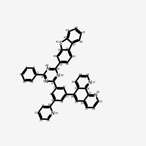 c1ccc(-c2nc(-c3cc(-c4ccccn4)cc(-c4cc5cccnc5c5ncccc45)c3)nc(-c3ccc4c(c3)sc3ccccc34)n2)cc1